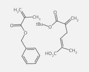 C=C(C)C(=O)OCc1ccccc1.C=C(CC=C(C)C(=O)O)C(=O)OC(C)(C)C